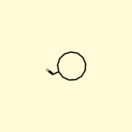 O=[C]C1CCCCCCCCCCCC1